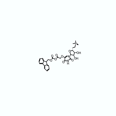 C=P(C)(C)CC[C@H]1OC(n2cc(OCC(=O)OC(=O)OCC3c4ccccc4-c4ccccc43)c(=O)[nH]c2=O)[C@H](O)[C@@H]1O